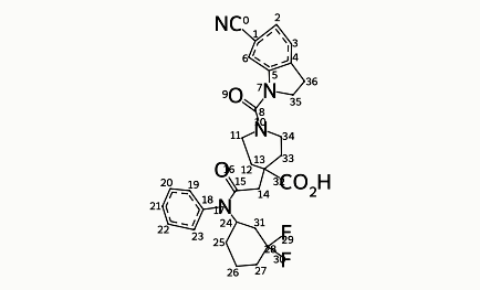 N#Cc1ccc2c(c1)N(C(=O)N1CCC(CC(=O)N(c3ccccc3)C3CCCC(F)(F)C3)(C(=O)O)CC1)CC2